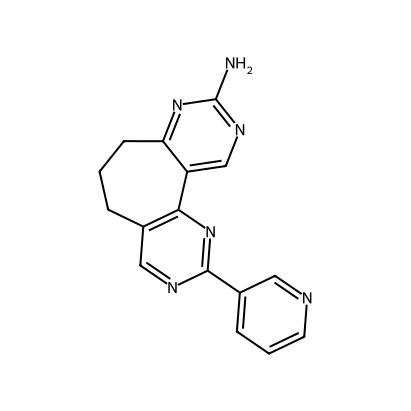 Nc1ncc2c(n1)CCCc1cnc(-c3cccnc3)nc1-2